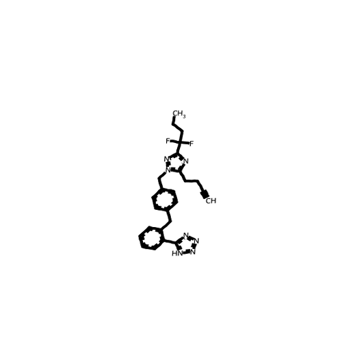 C#CCCc1nc(C(F)(F)CCC)nn1Cc1ccc(Cc2ccccc2-c2nnn[nH]2)cc1